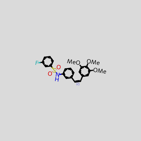 COc1cc(/C=C\c2cccc(NS(=O)(=O)c3cccc(F)c3)c2)cc(OC)c1OC